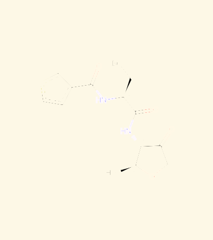 C[C@@H]1OCC(=O)[C@H]1NC(=O)[C@H](CC(C)(C)C)NC(=O)c1ccsc1